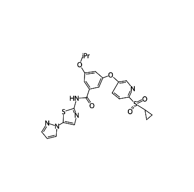 CC(C)Oc1cc(Oc2ccc(S(=O)(=O)C3CC3)nc2)cc(C(=O)Nc2ncc(-n3cccn3)s2)c1